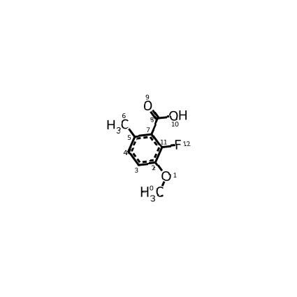 COc1ccc(C)c(C(=O)O)c1F